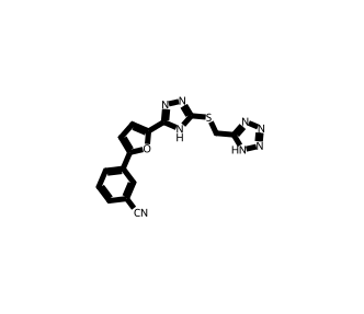 N#Cc1cccc(-c2ccc(-c3nnc(SCc4nnn[nH]4)[nH]3)o2)c1